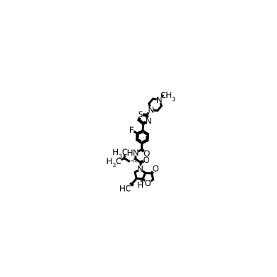 C#CC1CN(C(=O)[C@H](CC(C)C)NC(=O)c2ccc(-c3csc(N4CCN(C)CC4)n3)c(F)c2)C2C(=O)CO[C@H]12